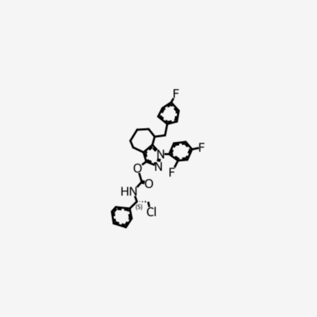 O=C(N[C@H](CCl)c1ccccc1)Oc1nn(-c2ccc(F)cc2F)c2c1CCCCC2Cc1ccc(F)cc1